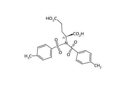 Cc1ccc(S(=O)(=O)N([C@@H](CCC(=O)O)C(=O)O)S(=O)(=O)c2ccc(C)cc2)cc1